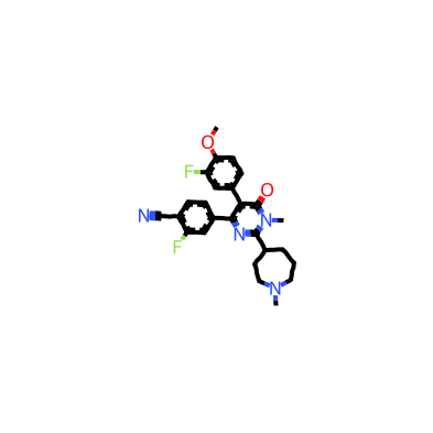 COc1ccc(-c2c(-c3ccc(C#N)c(F)c3)nc(C3CCCN(C)CC3)n(C)c2=O)cc1F